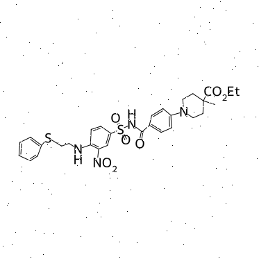 CCOC(=O)C1(C)CCN(c2ccc(C(=O)NS(=O)(=O)c3ccc(NCCSc4ccccc4)c([N+](=O)[O-])c3)cc2)CC1